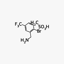 CS(=O)(=O)O.NCc1cc(C(F)(F)F)ccc1Br